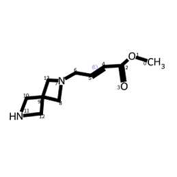 COC(=O)/C=C/CN1CC2(CNC2)C1